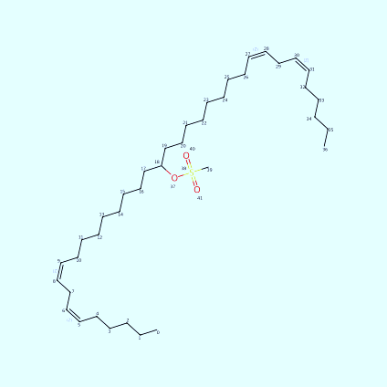 CCCCC/C=C\C/C=C\CCCCCCCCC(CCCCCCCC/C=C\C/C=C\CCCCC)OS(C)(=O)=O